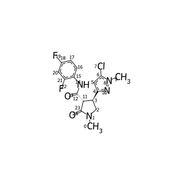 CN1C[C@H](c2cc(Cl)n(C)n2)[C@@H](C(=O)Nc2ccc(F)cc2F)C1=O